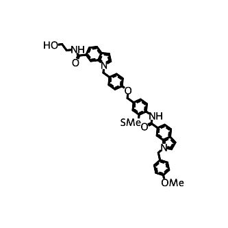 COc1ccc(Cn2ccc3ccc(C(=O)Nc4ccc(COc5ccc(Cn6ccc7ccc(C(=O)NCCO)cc76)cc5)cc4SC)cc32)cc1